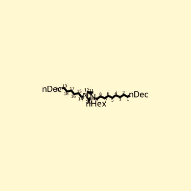 CCCCCCCCCCCCCCCCCCCn1cc[n+](CCCCCCCCCCCCCCCC)c1CCCCCC